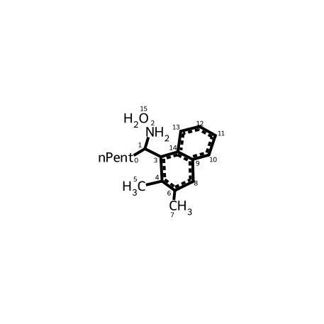 CCCCCC(N)c1c(C)c(C)cc2ccccc12.O